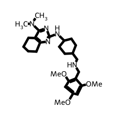 COc1cc(OC)c(CNCC2CCC(Nc3nc4c(c(N(C)C)n3)CCCC4)CC2)c(OC)c1